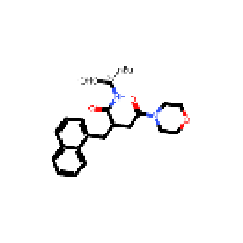 CCCC[C@@H]([C]=O)NC(=O)C(CC(=O)N1CCOCC1)Cc1cccc2ccccc12